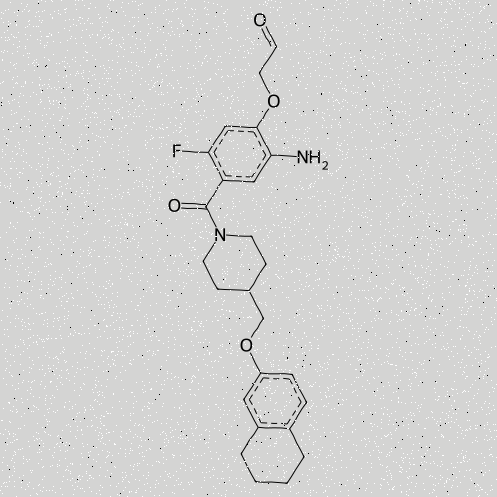 Nc1cc(C(=O)N2CCC(COc3ccc4c(c3)CCCC4)CC2)c(F)cc1OCC=O